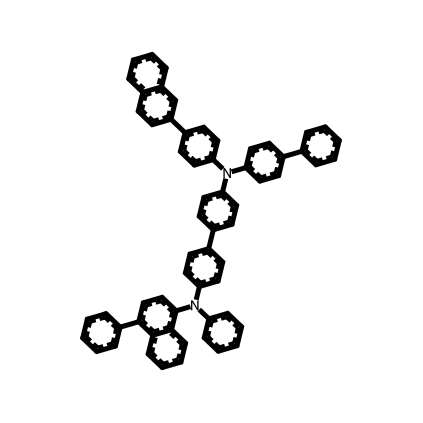 c1ccc(-c2ccc(N(c3ccc(-c4ccc(N(c5ccccc5)c5ccc(-c6ccccc6)c6ccccc56)cc4)cc3)c3ccc(-c4ccc5ccccc5c4)cc3)cc2)cc1